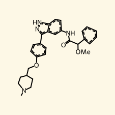 COC(C(=O)Nc1ccc2[nH]nc(-c3ccc(OCC4CCN(C)CC4)cc3)c2c1)c1ccccc1